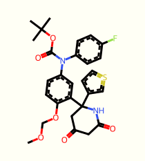 COCOc1ccc(N(C(=O)OC(C)(C)C)c2ccc(F)cc2)cc1C1(c2ccsc2)CC(=O)CC(=O)N1